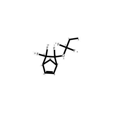 CCC(F)(F)OC1(F)C2C=CC(C2)C1(F)F